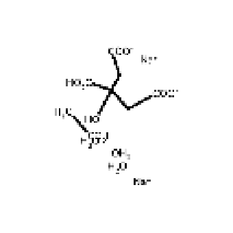 CC(=O)O.O.O.O.O=C([O-])CC(O)(CC(=O)[O-])C(=O)O.[Na+].[Na+]